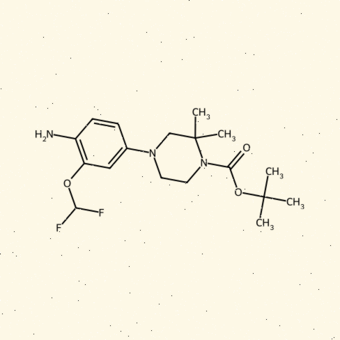 CC(C)(C)OC(=O)N1CCN(c2ccc(N)c(OC(F)F)c2)CC1(C)C